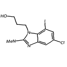 CNc1nc2cc(C#N)cc(I)c2n1CCCO